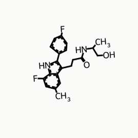 Cc1cc(F)c2[nH]c(-c3ccc(F)cc3)c(CCC(=O)NC(C)CO)c2c1